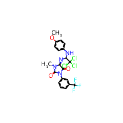 COc1ccc(NC(N=C2C(=O)N(c3cccc(C(F)(F)F)c3)C(=O)N2C)C(Cl)(Cl)Cl)cc1